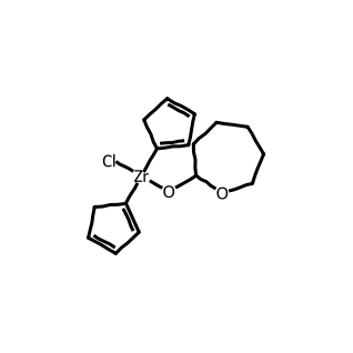 [Cl][Zr]([O]C1CCCCCO1)([C]1=CC=CC1)[C]1=CC=CC1